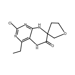 CCc1nc(Cl)nc2c1NC(=O)C1(CCOC1)N2